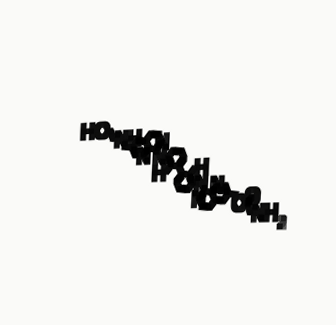 Cc1c(Nc2nccc3cc(CNCCO)cnc23)cccc1-c1cccc(Nc2nccc3cc(COC(=O)CN)cnc23)c1C